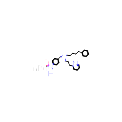 CCCCC(=O)Nc1ccc(CN(CCCCCc2ccccc2)CCCc2ccccn2)cc1